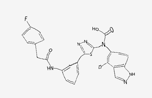 O=C(Cc1ccc(F)cc1)Nc1cccc(-c2nnc(N(C(=O)O)c3ccc4[nH]ncc4c3Cl)s2)c1